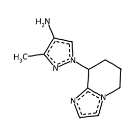 Cc1nn(C2CCCn3ccnc32)cc1N